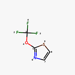 FC(F)(F)Oc1nc[c]s1